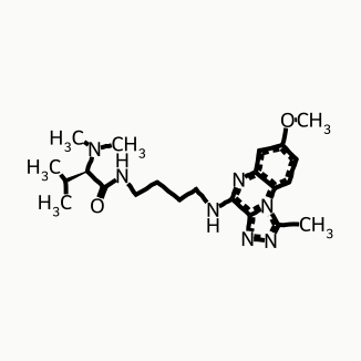 COc1ccc2c(c1)nc(NCCCCNC(=O)[C@@H](C(C)C)N(C)C)c1nnc(C)n12